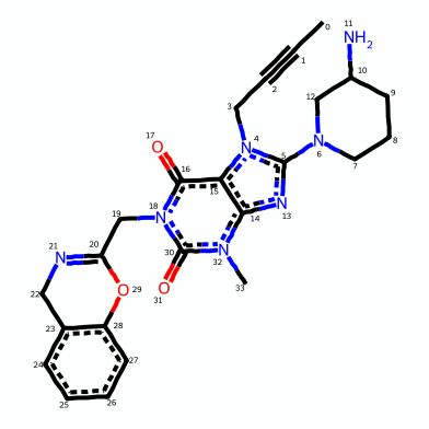 CC#CCn1c(N2CCCC(N)C2)nc2c1c(=O)n(CC1=NCc3ccccc3O1)c(=O)n2C